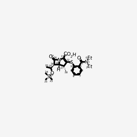 CCN(CC)C(=O)c1ccccc1SC1=C(C(=O)O)N2C(=O)[C@H](C(C)O[Si](C)(C)C)[C@H]2[C@H]1C